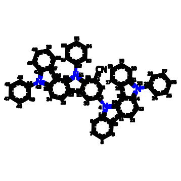 N#Cc1cc(-n2c3ccccc3c3ccc4c(c5ccccc5n4-c4ccccc4)c32)cc2c3ccc4c(c5ccccc5n4-c4ccccc4)c3n(-c3ccccc3)c12